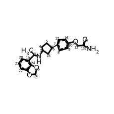 C[C@@H](NC1CC[C@@H](c2ccc(OCC(N)=O)cc2)C1)c1cccc2c1OCO2